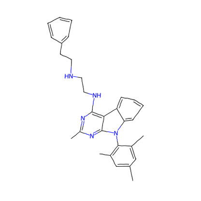 Cc1cc(C)c(-n2c3ccccc3c3c(NCCNCCc4ccccc4)nc(C)nc32)c(C)c1